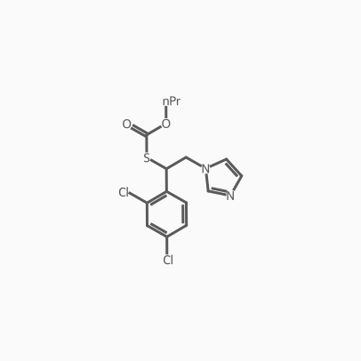 CCCOC(=O)SC(Cn1ccnc1)c1ccc(Cl)cc1Cl